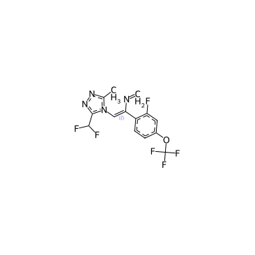 C=N/C(=C\n1c(C)nnc1C(F)F)c1ccc(OC(F)(F)F)cc1F